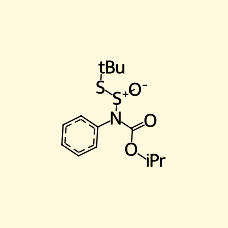 CC(C)OC(=O)N(c1ccccc1)[S+]([O-])SC(C)(C)C